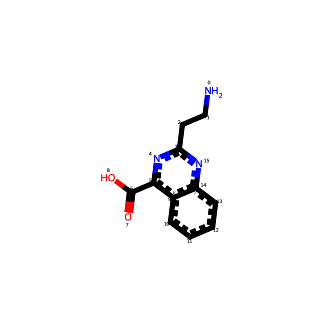 NCCc1nc(C(=O)O)c2ccccc2n1